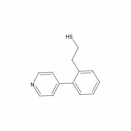 SCCc1ccccc1-c1ccncc1